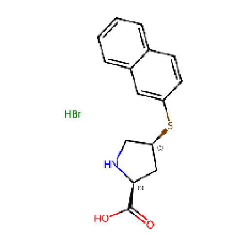 Br.O=C(O)[C@@H]1C[C@H](Sc2ccc3ccccc3c2)CN1